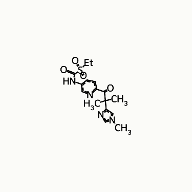 CCS(=O)(=O)C(=O)Nc1ccc(C(=O)C(C)(C)c2cn(C)cn2)nc1